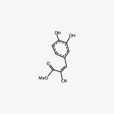 COC(=O)C(C#N)=Cc1ccc(O)c(O)c1